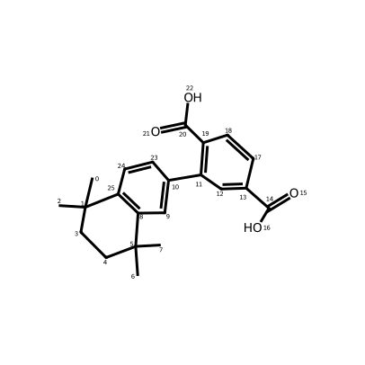 CC1(C)CCC(C)(C)c2cc(-c3cc(C(=O)O)ccc3C(=O)O)ccc21